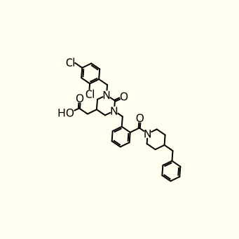 O=C(O)CC1CN(Cc2ccc(Cl)cc2Cl)C(=O)N(Cc2ccccc2C(=O)N2CCC(Cc3ccccc3)CC2)C1